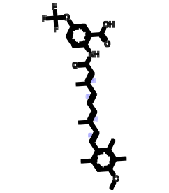 COc1cc(C)c(/C=C/C(C)=C/C=C/C(C)=C/C(=O)Nc2ccc(OC(F)(F)F)cc2C(=O)O)c(C)c1C